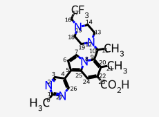 Cc1ncc(-c2ccn3c(C(C)N4CCN(CC(F)(F)F)CC4)c(C)c(C(=O)O)cc23)cn1